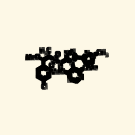 COc1ncnc(OC)c1-n1c(NS(=O)(=O)[C@@H](C)[C@H](OC)c2ccc(Cl)cn2)nnc1-c1ccn(C)n1